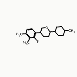 Cc1ccc(C2CCC(C3CCC(C)CC3)OC2)c(F)c1C